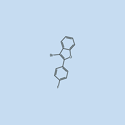 Fc1ccc(-c2oc3ccccc3c2Br)cc1